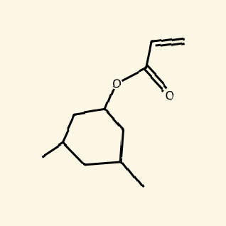 C=CC(=O)OC1CC(C)CC(C)C1